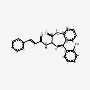 O=C(/C=C/c1ccccc1)NC1N=C(c2ccccc2F)c2ccccc2NC1=O